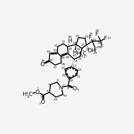 COC(=O)C1CCN(C(=O)c2ccc([C@H]3C[C@@]4(C)[C@@H](CC[C@@]4(O)C(F)(F)C(F)(F)F)[C@@H]4CCC5=CC(=O)CCC5=C43)cc2)CC1